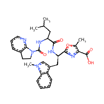 Cc1oc([C@@H](Cc2cn(C)c3ccccc23)NC(=O)C(CC(C)C)NC(=O)N2CCc3cccnc32)nc1C(=O)O